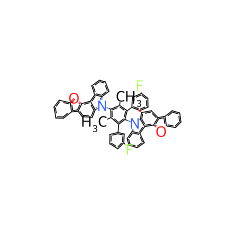 Cc1c(-c2cccc(F)c2)c(-n2c3ccccc3c3c4oc5ccccc5c4ccc32)c(-c2cccc(F)c2)c(C)c1-n1c2ccccc2c2c3oc4ccccc4c3ccc21